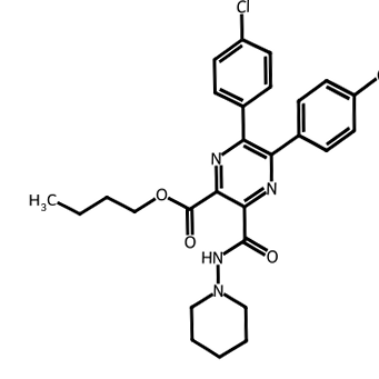 CCCCOC(=O)c1nc(-c2ccc(Cl)cc2)c(-c2ccc(Cl)cc2)nc1C(=O)NN1CCCCC1